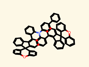 c1ccc(-c2ccc(N(c3ccccc3-c3cccc4c3-c3ccccc3C43c4ccccc4Oc4ccccc43)c3ccccc3-c3cccc4c3-c3ccccc3C43c4ccccc4Oc4ccccc43)cc2)cc1